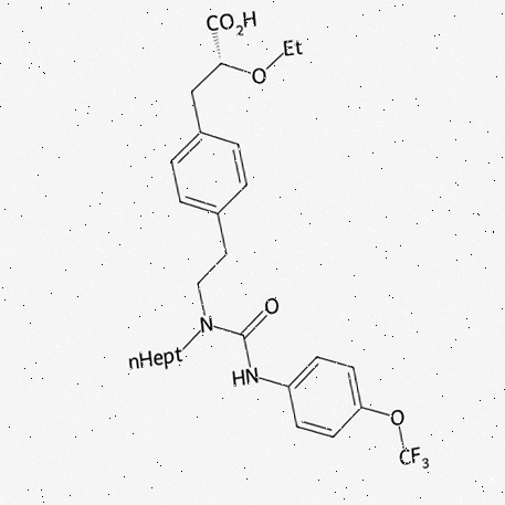 CCCCCCCN(CCc1ccc(C[C@@H](OCC)C(=O)O)cc1)C(=O)Nc1ccc(OC(F)(F)F)cc1